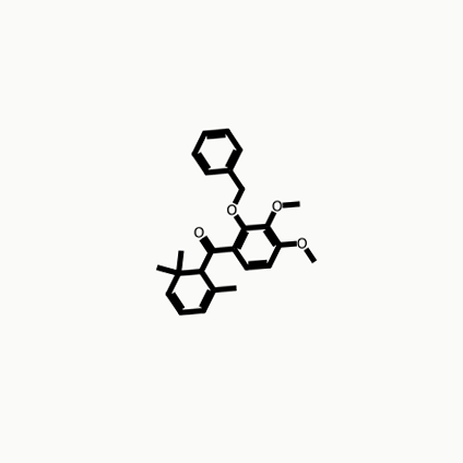 COc1ccc(C(=O)C2C(C)=CC=CC2(C)C)c(OCc2ccccc2)c1OC